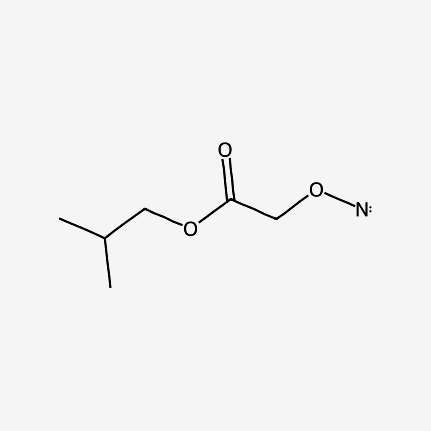 CC(C)COC(=O)CO[N]